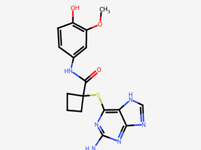 COc1cc(NC(=O)C2(Sc3nc(N)nc4nc[nH]c34)CCC2)ccc1O